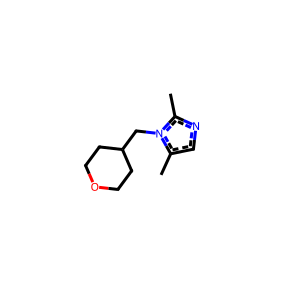 Cc1cnc(C)n1CC1CCOCC1